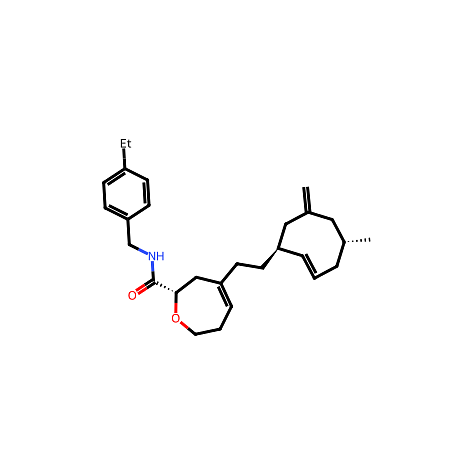 C=C1C[C@H](C)C/C=C/[C@@H](CCC2=CCCO[C@H](C(=O)NCc3ccc(CC)cc3)C2)C1